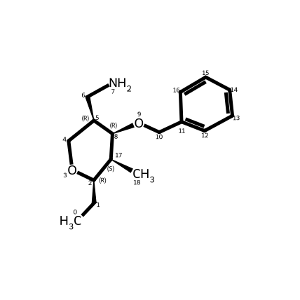 CC[C@H]1OC[C@@H](CN)[C@@H](OCc2ccccc2)[C@H]1C